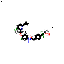 CC(O)C(F)(F)c1ccc(CC(=O)Nc2ccc(OC(C)(C)c3nc(C4CC4)ccc3Cl)c(F)c2)cc1